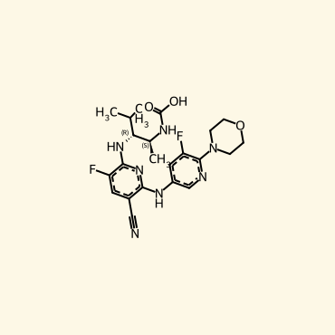 CC(C)[C@@H](Nc1nc(Nc2cnc(N3CCOCC3)c(F)c2)c(C#N)cc1F)[C@H](C)NC(=O)O